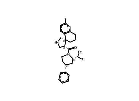 CCC(CC)[C@@H]1C[C@H](c2ccccc2)CCN1C(=O)[C@@H]1CNC[C@]12CCCc1nc(C)ccc12